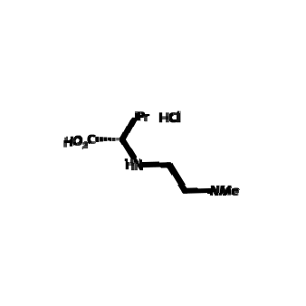 CNCCN[C@H](C(=O)O)C(C)C.Cl